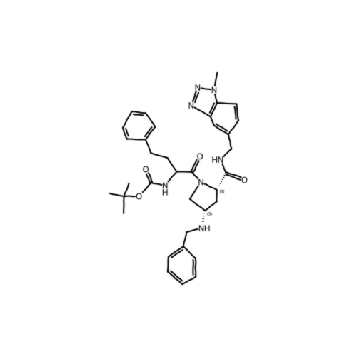 Cn1nnc2cc(CNC(=O)[C@@H]3C[C@H](NCc4ccccc4)CN3C(=O)C(CCc3ccccc3)NC(=O)OC(C)(C)C)ccc21